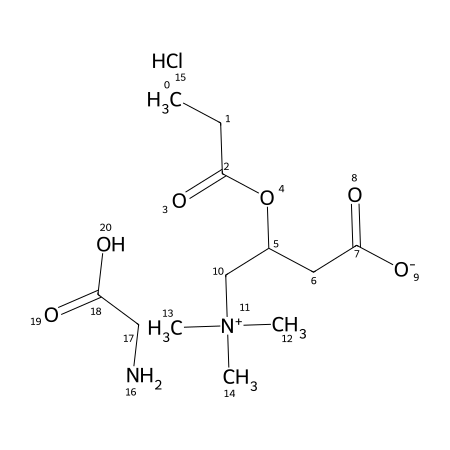 CCC(=O)OC(CC(=O)[O-])C[N+](C)(C)C.Cl.NCC(=O)O